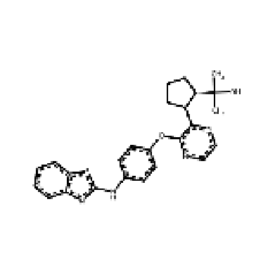 CC(C)(O)[C@@H]1CCCC1c1nccnc1Oc1ccc(Nc2nc3ccccc3s2)cc1